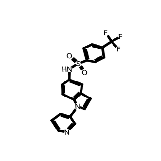 O=S(=O)(Nc1ccc2c(ccn2-c2cccnc2)c1)c1ccc(C(F)(F)F)cc1